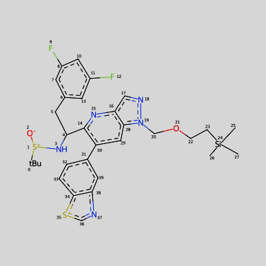 CC(C)(C)[S+]([O-])NC(Cc1cc(F)cc(F)c1)c1nc2cnn(COCC[Si](C)(C)C)c2cc1-c1ccc2scnc2c1